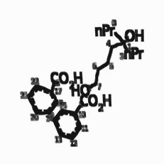 CCCC(O)(CCC)CCCCO.O=C(O)c1ccccc1.O=C(O)c1ccccc1